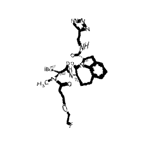 CC[C@H](C)[C@@H](C(=O)N[C@H]1CCc2cccc3c2N(C1=O)[C@H](C(=O)NCc1c[nH]nn1)C3)N(C)C(=O)CCOCCF